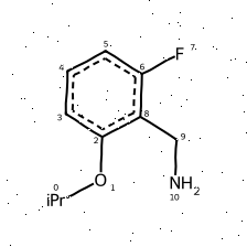 CC(C)Oc1cccc(F)c1CN